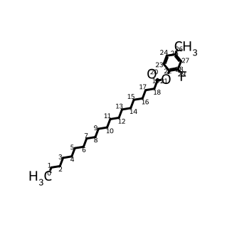 CCCCCCCCCCCCCCCCCCCC(=O)Oc1ccc(C)cc1F